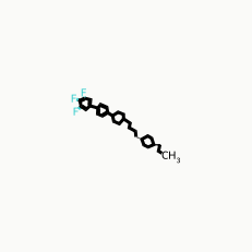 CCC[C@H]1CC[C@H](CCCCC2CCC(c3ccc(-c4cc(F)c(F)c(F)c4)cc3)CC2)CC1